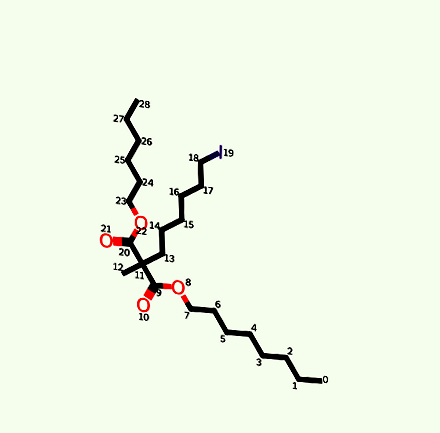 CCCCCCCCOC(=O)C(C)(CCCCCCI)C(=O)OCCCCCC